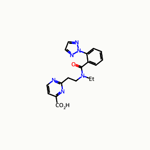 CCN(CCc1nccc(C(=O)O)n1)C(=O)c1ccccc1-n1nccn1